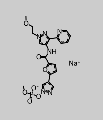 COCCn1cc(NC(=O)c2ccc(-c3cnn(OP(=O)([O-])OC)c3)o2)c(-c2ccccn2)n1.[Na+]